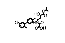 Cc1ccc(Cl)cc1-c1ccc(C[C@H](C[C@@H](O)C(=O)OC(C)C)NC(=O)C(=O)O)cc1